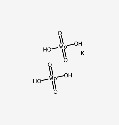 [K].[O]=[Mo](=[O])([OH])[OH].[O]=[Mo](=[O])([OH])[OH]